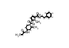 C=CC(=O)NC1CCN(S(=O)(=O)c2ccc(C(=O)NCCc3ccccc3)n2C)C(C)C1